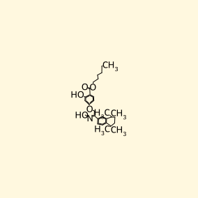 CCCCCCOC(=O)c1ccc(OCC(=NO)c2ccc3c(c2)C(C)(C)CCC3(C)C)cc1O